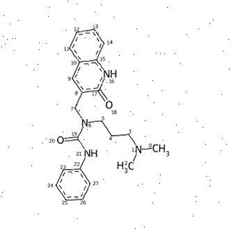 CN(C)CCCN(Cc1cc2ccccc2[nH]c1=O)C(=O)Nc1ccccc1